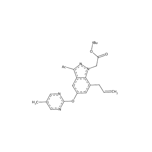 C=CCc1cc(Oc2ncc(C)cn2)cc2c(C(C)=O)nn(CC(=O)OC(C)(C)C)c12